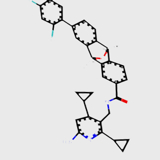 Nc1cc(C2CC2)c(CNC(=O)c2ccc3c(c2)[C@@H]2O[C@H]3c3ccc(-c4ccc(F)cc4F)cc32)c(C2CC2)n1